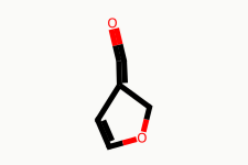 O=C=C1C=COC1